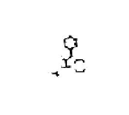 CC(C)[C@](OC(N)=O)(C(=O)Cc1ccccc1)N1CCOCC1